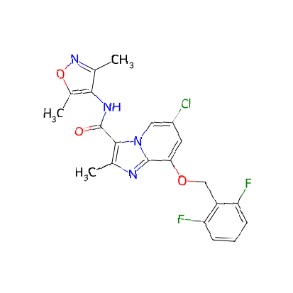 Cc1noc(C)c1NC(=O)c1c(C)nc2c(OCc3c(F)cccc3F)cc(Cl)cn12